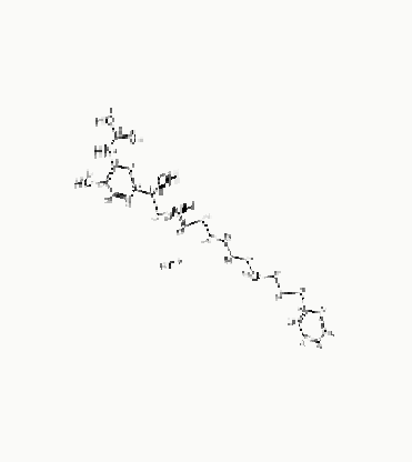 Cl.O=C(O)Nc1cc(C(O)CNCCCCCCOCCCc2ccccc2)ccc1O